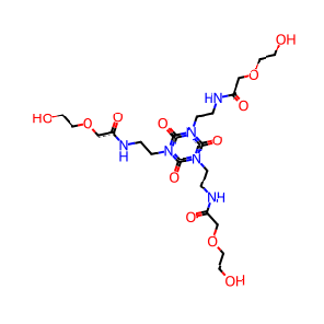 O=C(COCCO)NCCn1c(=O)n(CCNC(=O)COCCO)c(=O)n(CCNC(=O)COCCO)c1=O